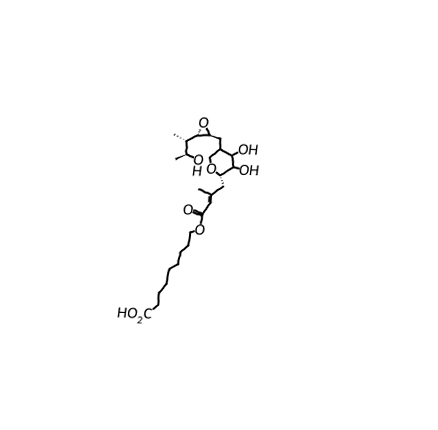 C/C(=C\C(=O)OCCCCCCCCC(=O)O)C[C@@H]1OCC(C[C@@H]2O[C@H]2[C@@H](C)[C@H](C)O)C(O)C1O